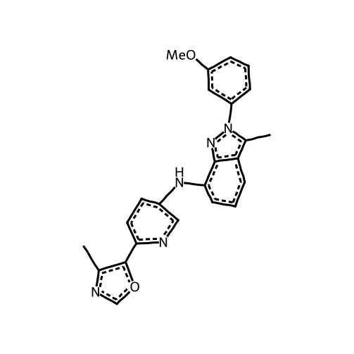 COc1cccc(-n2nc3c(Nc4ccc(-c5ocnc5C)nc4)cccc3c2C)c1